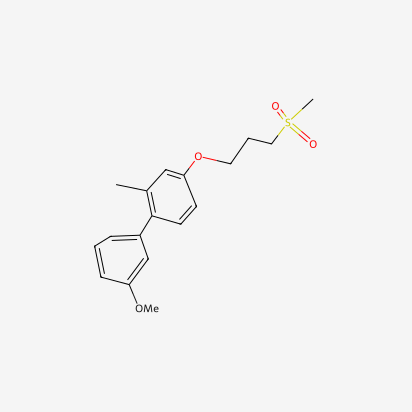 COc1cccc(-c2ccc(OCCCS(C)(=O)=O)cc2C)c1